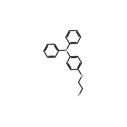 FCCOc1ccc(P(c2ccccc2)c2ccccc2)cc1